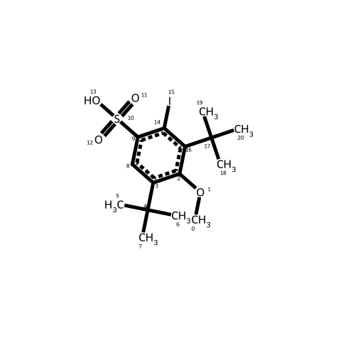 COc1c(C(C)(C)C)cc(S(=O)(=O)O)c(I)c1C(C)(C)C